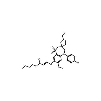 CCCCOC(=O)/C=C/Oc1cc2c(cc1SC)N(c1ccc(F)cc1)CC(CC)(CCCC)CS2(=O)=O